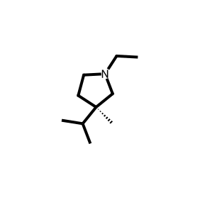 CCN1CC[C@](C)(C(C)C)C1